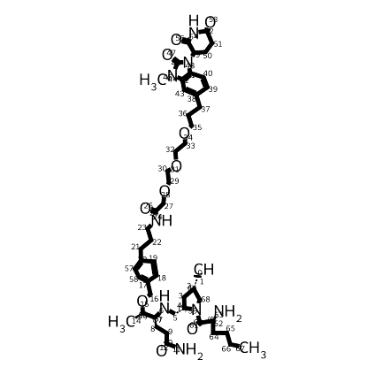 C#C[C@H]1C[C@@H](CN[C@@H](CCC(N)=O)[C@@H](C)OCc2ccc(CCCNC(=O)COCCOCCOCCCc3ccc4c(c3)n(C)c(=O)n4C3CCC(=O)NC3=O)cc2)N(C(=O)[C@@H](N)CCCC)C1